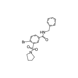 O=C(NCc1ccccc1)c1ccc(Br)c(S(=O)(=O)N2CCCC2)c1